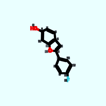 Oc1ccc2cc(-c3ccc(F)cc3)oc2c1